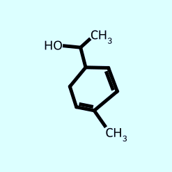 CC1=CCC(C(C)O)C=C1